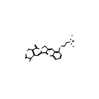 CCOP(=O)(CCNc1cccc2nc3c(cc12)Cn1c-3cc2c(c1=O)COC(=O)[C@]2(O)CC)OCC